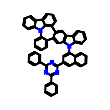 c1ccc(-c2nc(-c3ccccc3)nc(-c3cc(-n4c5ccccc5c5cc6c(cc54)-c4ccccc4-n4c5ccccc5c5cccc-6c54)c4ccccc4c3)n2)cc1